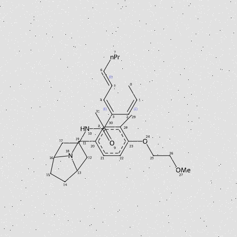 C\C=C/C(=C\C=C\CCC)C(=O)NC1CC2CCC(C1)N2Cc1ccc(OCCOC)c(C)c1C